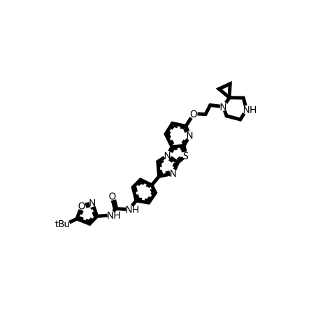 CC(C)(C)c1cc(NC(=O)Nc2ccc(-c3cn4c(n3)sc3nc(OCCN5CCNCC56CC6)ccc34)cc2)no1